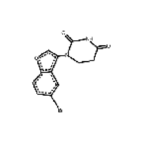 O=C1CCN(c2coc3ccc(Br)cc23)C(=O)N1